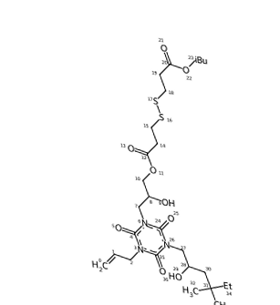 C=CCn1c(=O)n(CC(O)COC(=O)CCSSCCC(=O)OC(C)CC)c(=O)n(CC(O)CC(C)(C)CC)c1=O